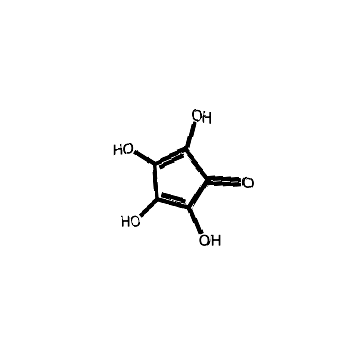 O=C1C(O)=C(O)C(O)=C1O